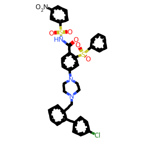 O=C(NS(=O)(=O)c1cccc([N+](=O)[O-])c1)c1ccc(N2CCN(Cc3ccccc3-c3ccc(Cl)cc3)CC2)cc1S(=O)(=O)c1ccccc1